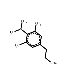 Cc1cc(CCC=O)cc(C)c1N(C)C